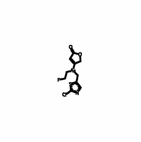 O=C1C=C([As](CCF)Cc2cnc(Cl)s2)CO1